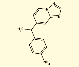 CC(c1ccc(N)cc1)c1ccn2ncnc2c1